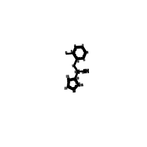 Cc1ccccc1CN(S)c1nccs1